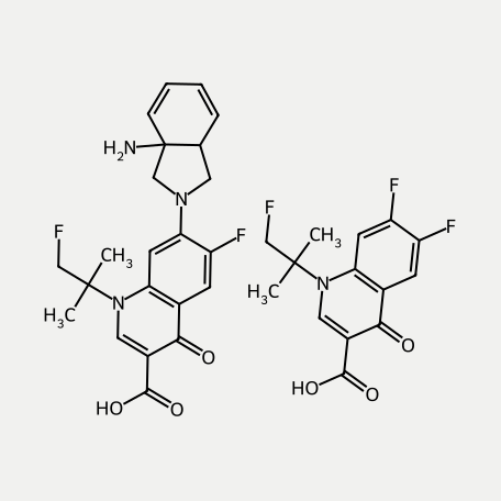 CC(C)(CF)n1cc(C(=O)O)c(=O)c2cc(F)c(F)cc21.CC(C)(CF)n1cc(C(=O)O)c(=O)c2cc(F)c(N3CC4C=CC=CC4(N)C3)cc21